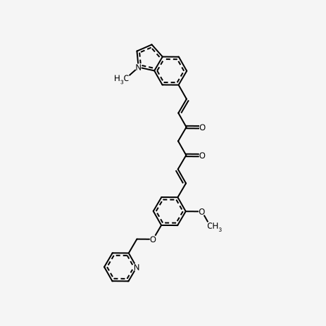 COc1cc(OCc2ccccn2)ccc1C=CC(=O)CC(=O)C=Cc1ccc2ccn(C)c2c1